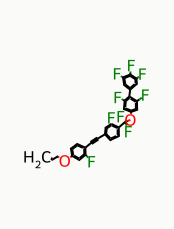 C=CCOc1ccc(C#Cc2ccc(C(F)(F)Oc3cc(F)c(-c4cc(F)c(F)c(F)c4)c(F)c3)c(F)c2)c(F)c1